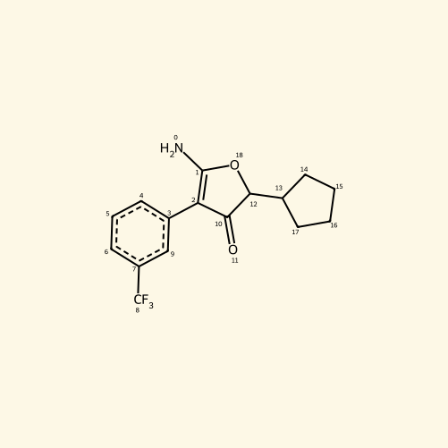 NC1=C(c2cccc(C(F)(F)F)c2)C(=O)C(C2CCCC2)O1